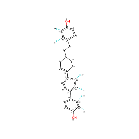 Oc1ccc(CCC2CC=C(c3ccc(-c4ccc(O)c(F)c4F)c(F)c3F)CC2)c(F)c1F